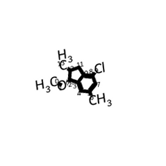 CO[C@H]1c2cc(C)cc(Cl)c2CC1C